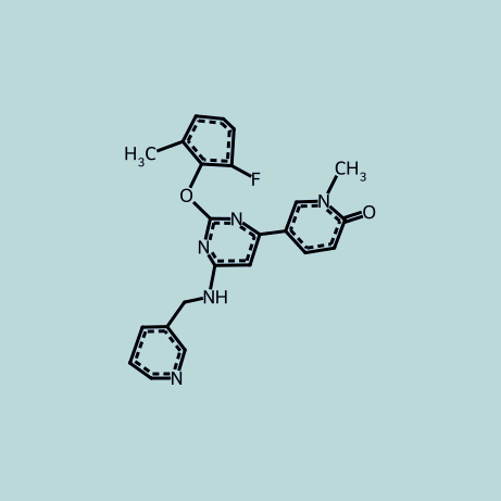 Cc1cccc(F)c1Oc1nc(NCc2cccnc2)cc(-c2ccc(=O)n(C)c2)n1